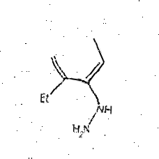 C=C(CC)/C(=C\C)NN